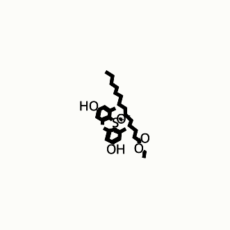 CCCCCCCCCCCCCC(=O)OCC.Cc1cc(O)cc(C)c1[S+]([O-])c1c(C)cc(O)cc1C